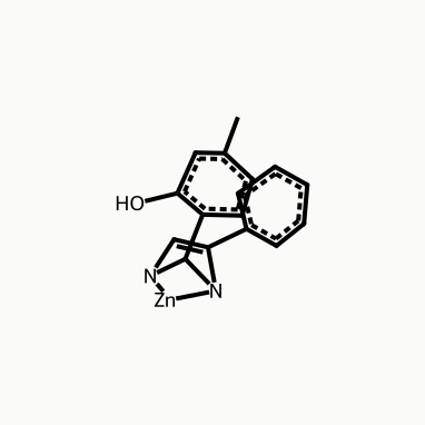 Cc1ccc(C2[N]3C=C(c4ccccc4)[N]2[Zn]3)c(O)c1